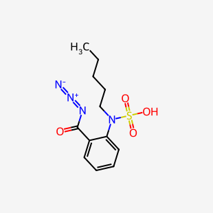 CCCCCN(c1ccccc1C(=O)N=[N+]=[N-])S(=O)(=O)O